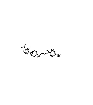 CC(C)c1noc(N2CCC([C@H](C)CCOc3ccc(Br)cn3)CC2)n1